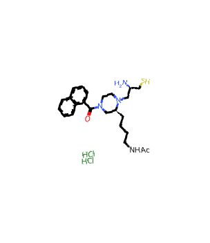 CC(=O)NCCCC[C@H]1CN(C(=O)c2cccc3ccccc23)CCN1C[C@@H](N)CS.Cl.Cl